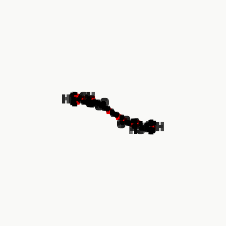 CC1(C)CC(N(O)Cc2ccc(COC(=O)CCCCCCCCC(=O)OCc3ccc(CN(O)C4CC(C)(C)NC(C)(C)C4)cc3)cc2)CC(C)(C)N1